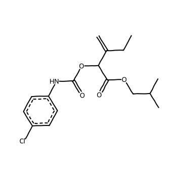 C=C(CC)C(OC(=O)Nc1ccc(Cl)cc1)C(=O)OCC(C)C